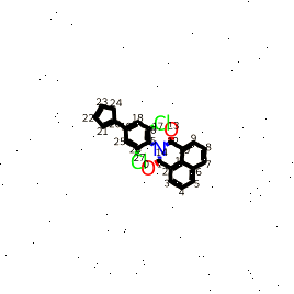 O=C1c2cccc3cccc(c23)C(=O)N1c1c(Cl)cc(C2=CC=CC2)cc1Cl